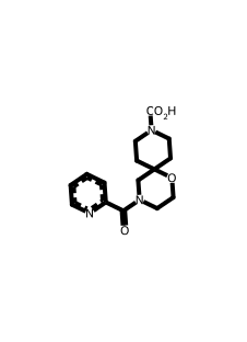 O=C(O)N1CCC2(CC1)CN(C(=O)c1ccccn1)CCO2